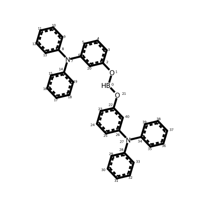 B(Oc1cccc(N(c2ccccc2)c2ccccc2)c1)Oc1cccc(N(c2ccccc2)c2ccccc2)c1